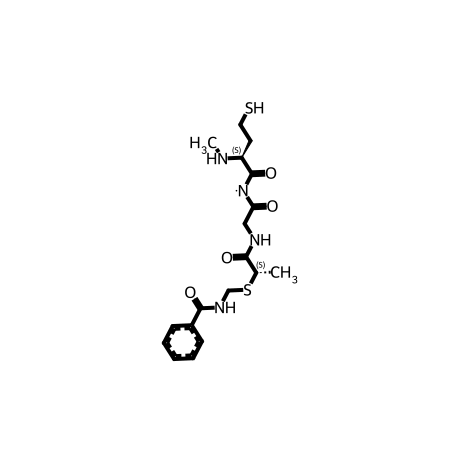 CN[C@@H](CCS)C(=O)[N]C(=O)CNC(=O)[C@H](C)SCNC(=O)c1ccccc1